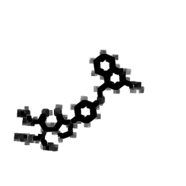 CCCCN(C(=O)O)[C@H](C(=O)NO)[C@H]1CCN(c2ccc(OCc3cc(C)nc4ccccc34)cc2)C1=O